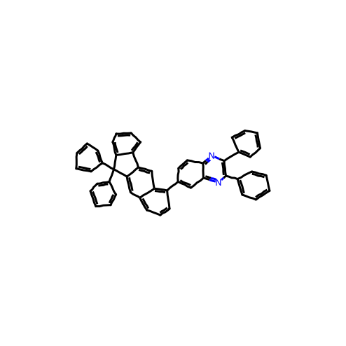 c1ccc(-c2nc3ccc(-c4cccc5cc6c(cc45)-c4ccccc4C6(c4ccccc4)c4ccccc4)cc3nc2-c2ccccc2)cc1